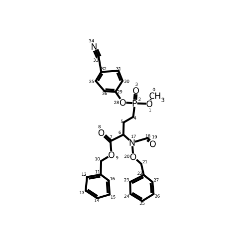 COP(=O)(CCC(C(=O)OCc1ccccc1)N(C=O)OCc1ccccc1)Oc1ccc(C#N)cc1